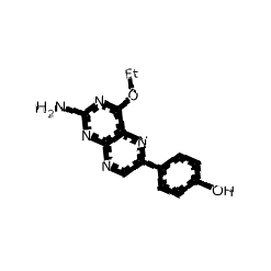 CCOc1nc(N)nc2ncc(-c3ccc(O)cc3)nc12